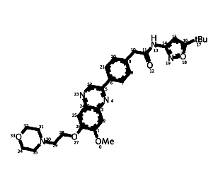 COc1cc2nc(-c3ccc(CC(=O)Nc4cc(C(C)(C)C)on4)cc3)cnc2cc1OCCN1CCOCC1